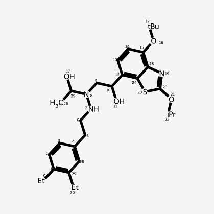 CCc1ccc(CCNN(CC(O)c2ccc(OC(C)(C)C)c3nc(OC(C)C)sc23)C(C)O)cc1CC